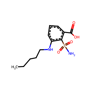 CCCCCNc1cccc(C(=O)O)c1S(N)(=O)=O